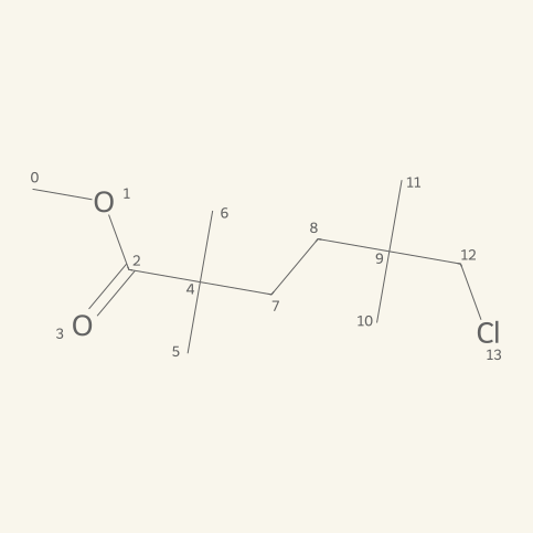 COC(=O)C(C)(C)CCC(C)(C)CCl